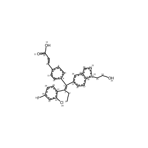 CC/C(=C(/c1ccc(C=CC(=O)O)cc1)c1ccc2c(cnn2CCO)c1)c1ccc(F)cc1Cl